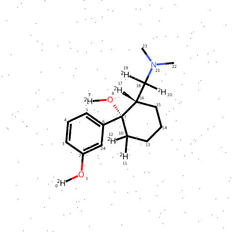 [2H]Oc1cccc([C@]2(O[2H])C([2H])([2H])CCC[C@@]2([2H])C([2H])([2H])N(C)C)c1